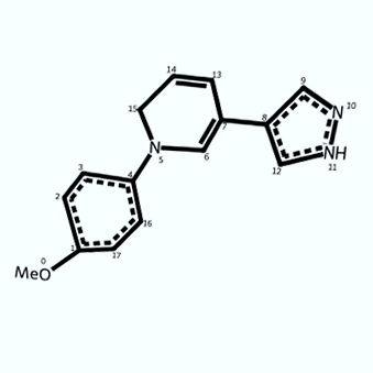 COc1ccc(N2C=C(c3cn[nH]c3)C=CC2)cc1